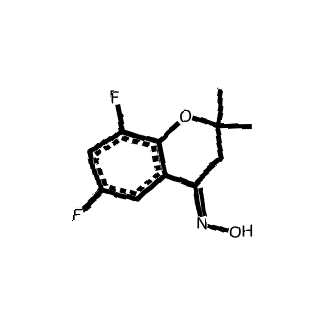 CC1(C)CC(=NO)c2cc(F)cc(F)c2O1